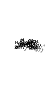 CC(C)C[C@H](NC(=O)[C@H](Cc1ccccc1)NC(=O)[C@H](C)NC(=O)[C@H](C)NC(=O)[C@H](CC(=O)O)NC(=O)[C@@H](N)CC(=O)O)C(=O)NC(C)(C)C(=O)N[C@@H](Cc1ccsc1)C(=O)O